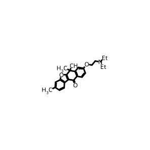 CCN(CC)CCOc1ccc2c(c1)C(C)(C)c1oc3cc(C)ccc3c1C2=O